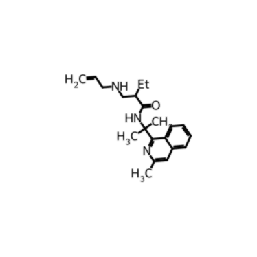 C=CCNCC(CC)C(=O)NC(C)(C)c1nc(C)cc2ccccc12